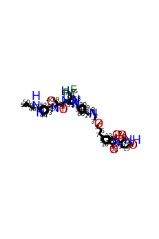 CN(CCOCCCc1ccc2c(c1)C(=O)N(C1CCC(=O)NC1=O)C2=O)Cc1ccc(-n2cc(NC(=O)c3coc(-c4ccnc(NCC5CC5)c4)n3)c(C(F)F)n2)cc1